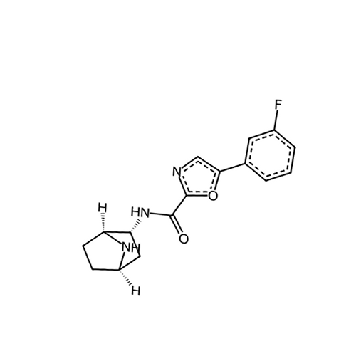 O=C(N[C@@H]1C[C@H]2CC[C@@H]1N2)c1ncc(-c2cccc(F)c2)o1